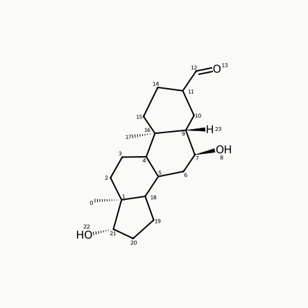 C[C@]12CCC3C(C[C@H](O)[C@H]4CC(C=O)CC[C@]34C)C1CC[C@@H]2O